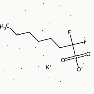 CCCCCCC(F)(F)S(=O)(=O)[O-].[K+]